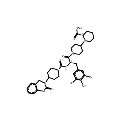 COC(=O)[C@H]1CCCCN1C1CCN(C(=O)[C@@H](Cc2cc(Br)c(O)c(Br)c2)NC(=O)N2CCC(N3Cc4ccccc4NC3=O)CC2)CC1